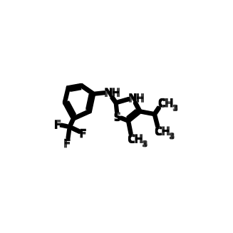 CC1=C(C(C)C)NC(Nc2cccc(C(F)(F)F)c2)S1